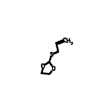 C=CCS[C]1OCCO1